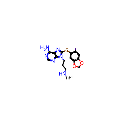 CCCNCCCn1c(Sc2cc3c(cc2I)OCO3)nc2c(N)ncnc21